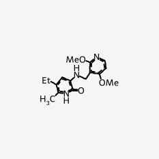 CCc1cc(NCc2c(OC)ccnc2OC)c(=O)[nH]c1C